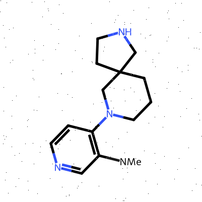 CNc1cnccc1N1CCCC2(CCNC2)C1